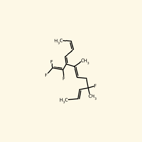 C\C=C/C=C(C(F)=C(F)F)\C(C)=C\CC(C)(F)/C=C/C